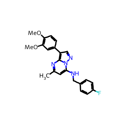 COc1ccc(-c2cnn3c(NCc4ccc(F)cc4)cc(C)nc23)cc1OC